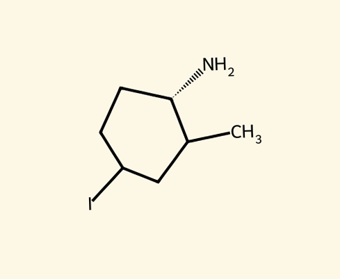 CC1CC(I)CC[C@@H]1N